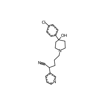 N#CC(CCCN1CCC(O)(c2ccc(Cl)cc2)CC1)c1cccnc1